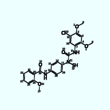 COc1cc(OC)c(NC(=O)N(S)c2ccc(NC(=O)c3ccccc3OC)cc2)cc1Cl